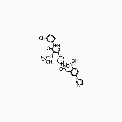 CC1(COc2c(N3CCN(S(=O)(=O)Cc4cc(-n5ccnc5)ccc4NO)CC3)cnn(-c3cccc(Cl)c3)c2=O)CC1